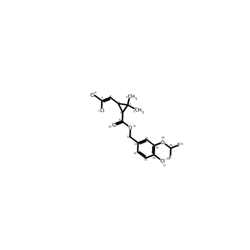 CC1(C)C(C=C(Cl)Cl)C1C(=O)OCc1ccc(Cl)c(OC(F)F)c1